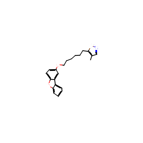 Cc1cnsc1CCCCCCOc1ccc2oc3ccccc3c2c1